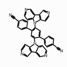 N#Cc1ccc(-c2cc(-n3c4ccncc4c4cnccc43)c(-c3ccc(C#N)cc3)cc2-n2c3ccncc3c3cnccc32)cc1